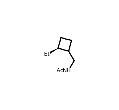 CC[C@H]1CCC1CNC(C)=O